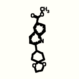 COC(=O)c1ccc2nc(C3CCC4(CC3)OCCO4)ccc2c1